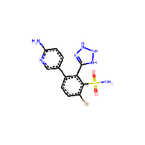 Nc1ccc(-c2ccc(Br)c(S(N)(=O)=O)c2C2=NNNN2)cn1